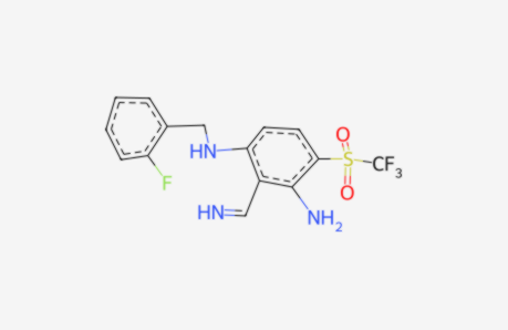 N=Cc1c(NCc2ccccc2F)ccc(S(=O)(=O)C(F)(F)F)c1N